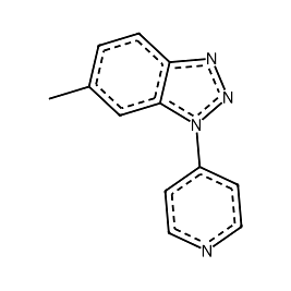 Cc1ccc2nnn(-c3ccncc3)c2c1